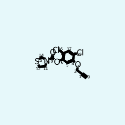 C#CCOc1cc(OC(=O)N2CCSC2)c(Cl)cc1Cl